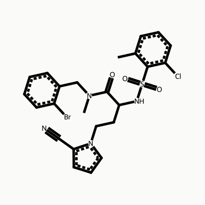 Cc1cccc(Cl)c1S(=O)(=O)NC(CCn1cccc1C#N)C(=O)N(C)Cc1ccccc1Br